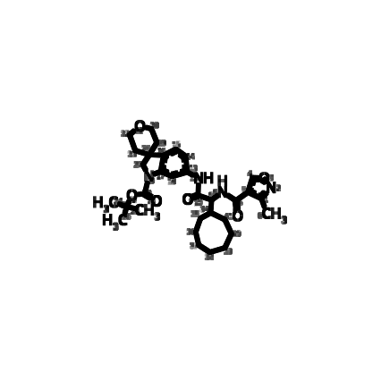 Cc1nocc1C(=O)NC(C(=O)Nc1ccc2c(c1)N(C(=O)OC(C)(C)C)CC21CCOCC1)C1CCCCCCC1